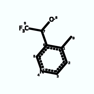 Cc1ccncc1C([O])C(F)(F)F